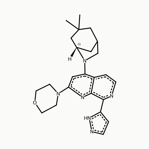 CC1(C)CC2C[C@@H](C1)N(c1cc(N3CCOCC3)nc3c(-c4ccn[nH]4)nccc13)C2